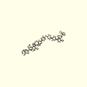 Cc1cccc(NC(=O)c2ccc(-c3nn4c(c3C(N)=O)Nc3ccc(N5CCN(CC6CCN(c7ccc(N8CCC(=O)N(COC(=O)C(C)(C)C)C8=O)cc7)CC6)CC5)cc3CC4)c(F)c2C)n1